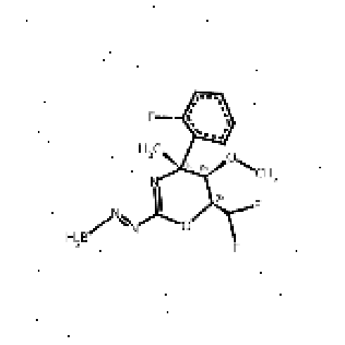 BN=NC1=N[C@](C)(c2ccccc2F)[C@@H](OC)[C@@H](C(F)F)O1